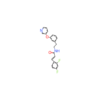 O=C(C=Cc1ccc(F)cc1F)NCCc1cccc(Oc2cccnc2)c1